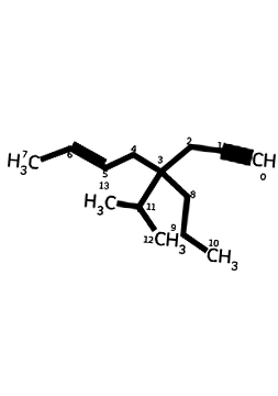 C#CCC(CC=CC)(CCC)[C](C)C